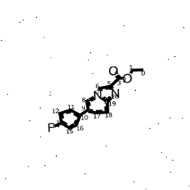 CCOC(=O)c1cn2cc(-c3ccc(F)cc3)ccc2n1